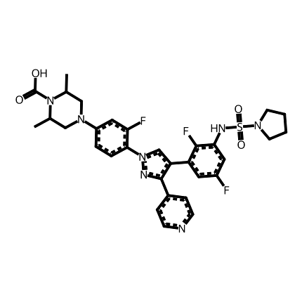 CC1CN(c2ccc(-n3cc(-c4cc(F)cc(NS(=O)(=O)N5CCCC5)c4F)c(-c4ccncc4)n3)c(F)c2)CC(C)N1C(=O)O